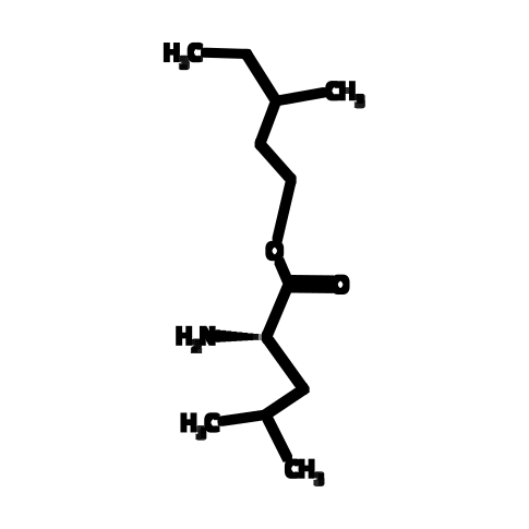 CCC(C)CCOC(=O)[C@@H](N)CC(C)C